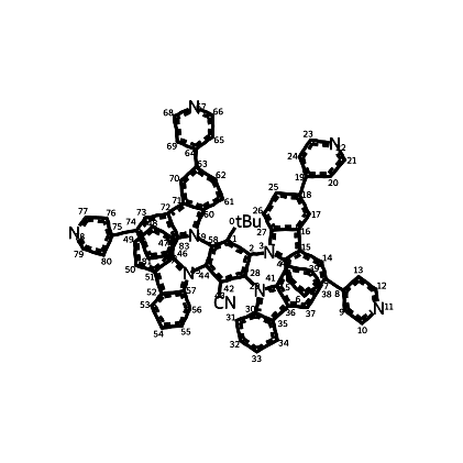 CC(C)(C)c1c(-n2c3ccc(-c4ccncc4)cc3c3cc(-c4ccncc4)ccc32)c(-n2c3ccccc3c3ccccc32)c(C#N)c(-n2c3ccccc3c3ccccc32)c1-n1c2ccc(-c3ccncc3)cc2c2cc(-c3ccncc3)ccc21